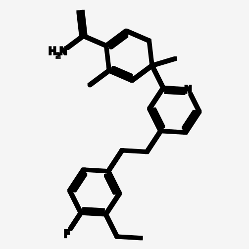 C=C(N)C1=CCC(C)(c2cc(CCc3ccc(F)c(CC)c3)ccn2)C=C1C